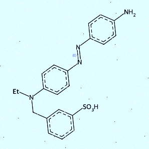 CCN(Cc1cccc(S(=O)(=O)O)c1)c1ccc(/N=N/c2ccc(N)cc2)cc1